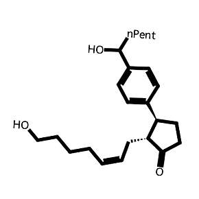 CCCCCC(O)c1ccc([C@H]2CCC(=O)[C@@H]2C/C=C\CCCCO)cc1